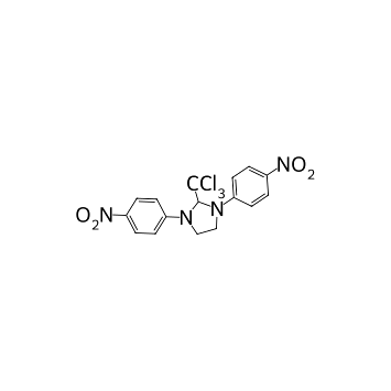 O=[N+]([O-])c1ccc(N2CCN(c3ccc([N+](=O)[O-])cc3)C2C(Cl)(Cl)Cl)cc1